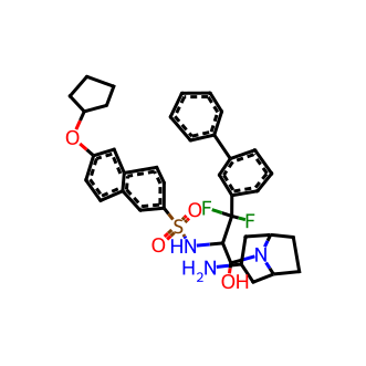 NC1CC2CCC(C1)N2C(O)C(NS(=O)(=O)c1ccc2cc(OC3CCCC3)ccc2c1)C(F)(F)c1cccc(-c2ccccc2)c1